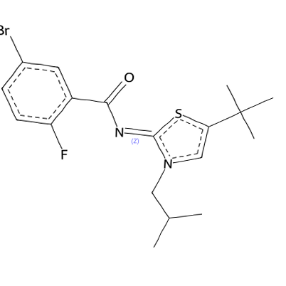 CC(C)Cn1cc(C(C)(C)C)s/c1=N\C(=O)c1cc(Br)ccc1F